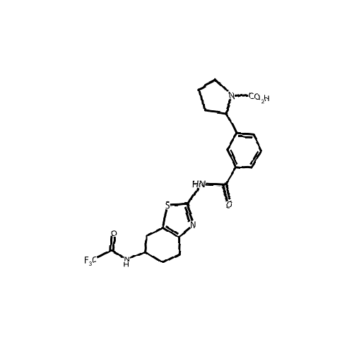 O=C(Nc1nc2c(s1)CC(NC(=O)C(F)(F)F)CC2)c1cccc(C2CCCN2C(=O)O)c1